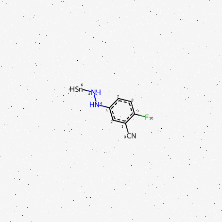 N#Cc1cc(N[NH][SnH])ccc1F